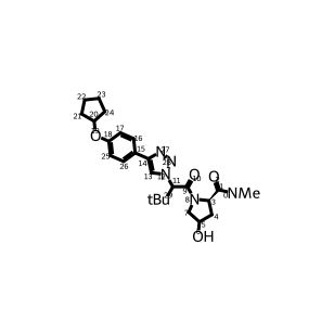 CNC(=O)[C@H]1CC(O)CN1C(=O)C(n1cc(-c2ccc(OC3CCCC3)cc2)nn1)C(C)(C)C